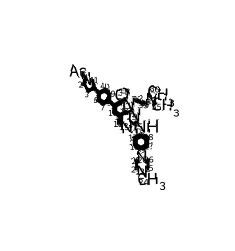 CC(=O)N1CCC(c2ccc(-c3cc4cnc(Nc5ccc(N6CCN(C)CC6)cc5)nc4n(CCN(C)C)c3=O)cc2)C1